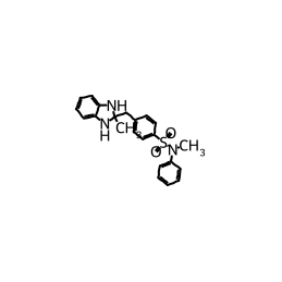 CN(c1ccccc1)S(=O)(=O)c1ccc(CC2(C)Nc3ccccc3N2)cc1